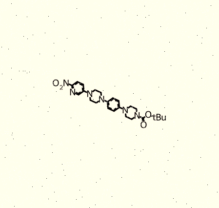 CC(C)(C)OC(=O)N1CCN(c2ccc(N3CCN(c4ccc([N+](=O)[O-])nc4)CC3)cc2)CC1